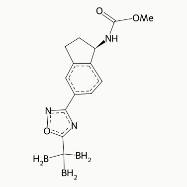 BC(B)(B)c1nc(-c2ccc3c(c2)CC[C@H]3NC(=O)OC)no1